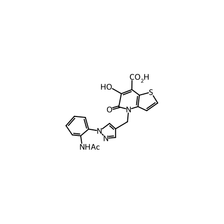 CC(=O)Nc1ccccc1-n1cc(Cn2c(=O)c(O)c(C(=O)O)c3sccc32)cn1